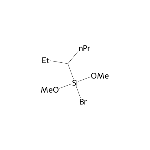 CCCC(CC)[Si](Br)(OC)OC